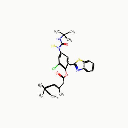 CC(CC(=O)Oc1c(Cl)cc(N(S)C(=O)NC(C)(C)C)cc1-c1nc2ccccc2s1)CC(C)(C)C